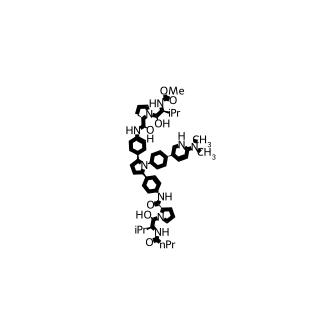 CCCC(=O)N[C@@H](C(C)C)[C@H](O)N1CCC[C@H]1C(=O)N[C@@H]1C=C[C@H](C2CCC([C@@H]3CC=C(N[C@@H](O)[C@@H]4CCCN4[C@@H](O)[C@@H](NC(=O)OC)C(C)C)CC3)N2[C@H]2CC[C@@H](C3C=CC(N(C)C)NC3)CC2)CC1